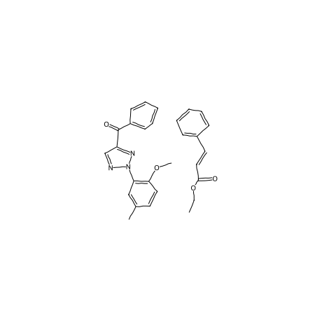 CCOC(=O)C=Cc1ccccc1.COc1ccc(C)cc1-n1ncc(C(=O)c2ccccc2)n1